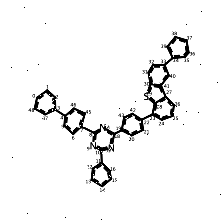 c1ccc(-c2ccc(-c3nc(-c4ccccc4)nc(-c4ccc(-c5cccc6c5sc5ccc(-c7ccccc7)cc56)cc4)n3)cc2)cc1